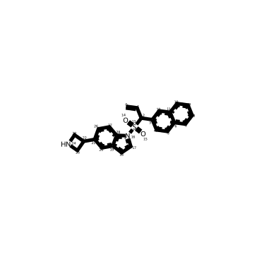 C=CC(c1ccc2ccccc2c1)S(=O)(=O)n1ccc2cc(C3CNC3)ccc21